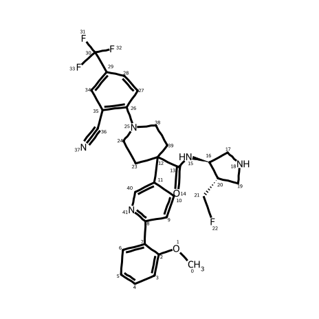 COc1ccccc1-c1ccc(C2(C(=O)N[C@H]3CNC[C@@H]3CF)CCN(c3ccc(C(F)(F)F)cc3C#N)CC2)cn1